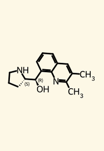 Cc1cc2cccc([C@@H](O)[C@@H]3CCCN3)c2nc1C